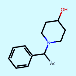 CC(=O)C(c1ccccc1)N1CCC(O)CC1